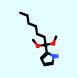 CCCCCC[Si](OC)(OC)c1ccc[nH]1